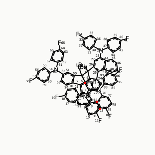 CC(C)(C)C1(C2(C(C)(C)C)c3cc(N(c4ccc(F)cc4)c4ccc(F)cc4)ccc3-c3c2cc(N(c2ccc(F)cc2)c2ccc(F)cc2)c2ccccc32)c2cc(N(c3ccc(F)cc3)c3ccc(F)cc3)ccc2-c2c1cc(N(c1ccc(F)cc1)c1ccc(F)cc1)c1ccccc21